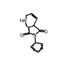 O=C1C2C=CCNC2C(=O)N1c1ccccc1